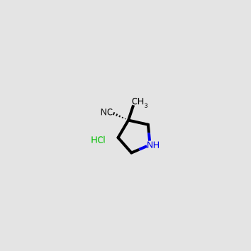 C[C@]1(C#N)CCNC1.Cl